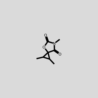 CC1C(C)C12OC(=O)N(C)C2=O